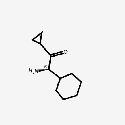 N[C@@H](C(=O)C1CC1)C1CCCCC1